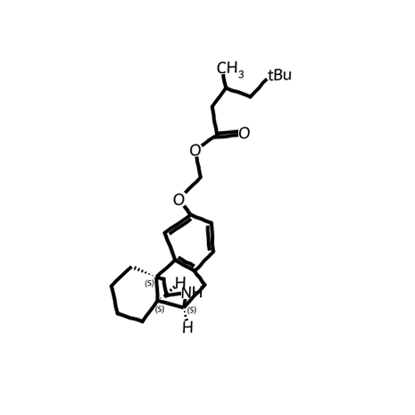 CC(CC(=O)OCOc1ccc2c(c1)[C@]13CCCC[C@@H]1[C@H](C2)NCC3)CC(C)(C)C